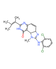 CC(C)=C(C)c1nc2c(c(=O)[nH]1)C1C(C=C2)N=C(Nc2c(Cl)cccc2Cl)N1C